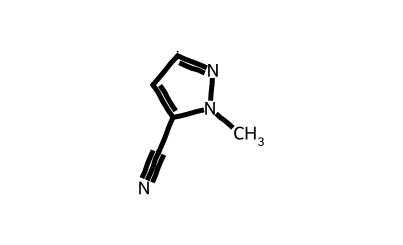 Cn1n[c]cc1C#N